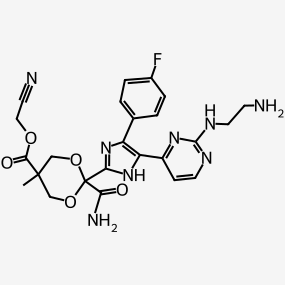 CC1(C(=O)OCC#N)COC(C(N)=O)(c2nc(-c3ccc(F)cc3)c(-c3ccnc(NCCN)n3)[nH]2)OC1